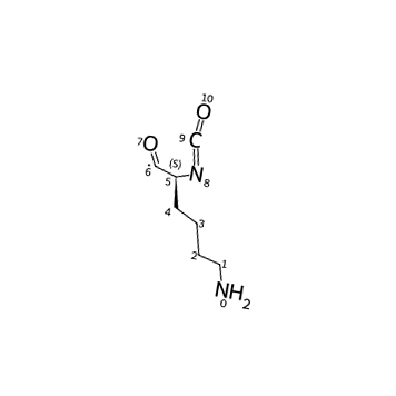 NCCCC[C@@H]([C]=O)N=C=O